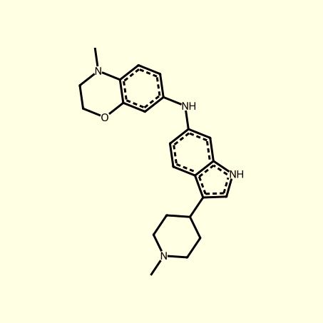 CN1CCC(c2c[nH]c3cc(Nc4ccc5c(c4)OCCN5C)ccc23)CC1